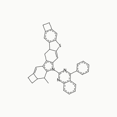 CC1c2c(c3c(n2-c2nc(-c4ccccc4)c4ccccc4n2)C=C2Sc4cc5c(cc4C2C3)CC5)C=C2CCC21